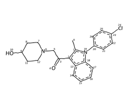 Cc1c(C(=O)CN2CCC(O)CC2)c2ccccc2n1-c1ccc(Cl)cc1